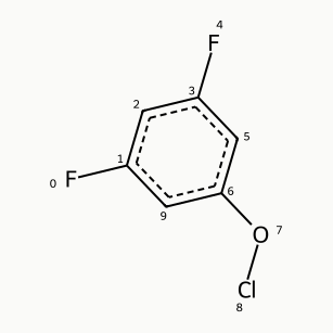 Fc1cc(F)cc(OCl)c1